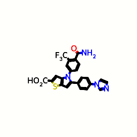 NC(=O)c1ccc(-n2c(-c3ccc(-n4ccnc4)cc3)cc3sc(C(=O)O)cc32)cc1C(F)(F)F